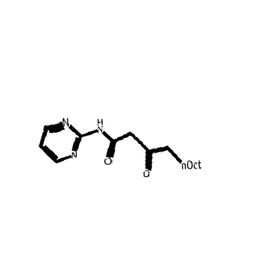 CCCCCCCCCC(=O)CC(=O)Nc1ncccn1